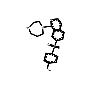 CC(C)(C)c1ccc(S(=O)(=O)c2ccc3ccnc(N4CCCNCC4)c3c2)cc1